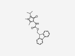 Cc1c(NC(=O)OCC2c3ccccc3-c3ccccc32)c(=O)n(C(C)C)n1C